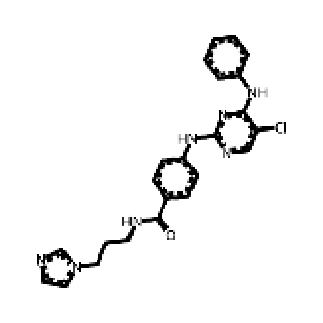 O=C(NCCCn1ccnc1)c1ccc(Nc2ncc(Cl)c(Nc3ccccc3)n2)cc1